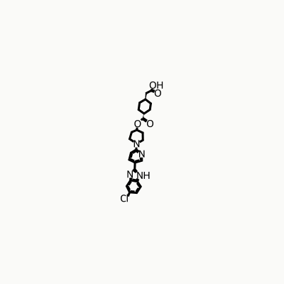 O=C(O)C[C@H]1CC[C@H](C(=O)OC2CCN(c3ccc(-c4nc5cc(Cl)ccc5[nH]4)cn3)CC2)CC1